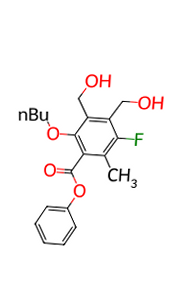 CCCCOc1c(CO)c(CO)c(F)c(C)c1C(=O)Oc1ccccc1